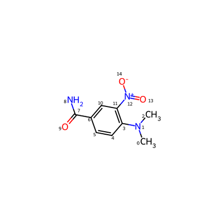 CN(C)c1ccc(C(N)=O)cc1[N+](=O)[O-]